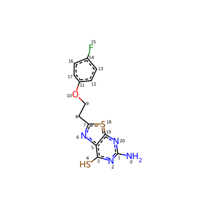 Nc1nc(S)c2nc(CCOc3ccc(F)cc3)sc2n1